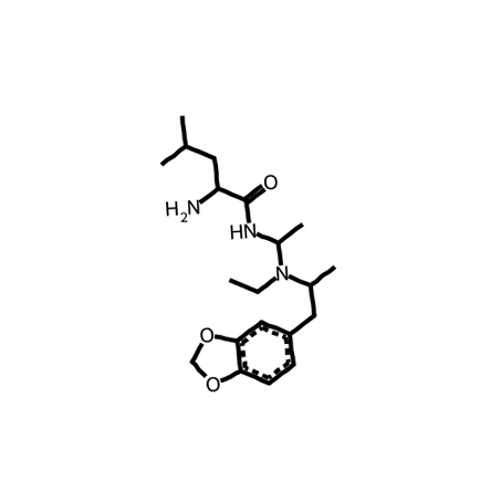 CCN(C(C)Cc1ccc2c(c1)OCO2)C(C)NC(=O)C(N)CC(C)C